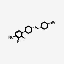 CCC[C@H]1CC[C@H](CC[C@H]2CC[C@H](c3ccc(C#N)c(F)c3F)CC2)CC1